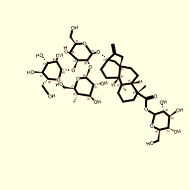 C=C1C[C@@]23CC[C@H]4[C@@](C)(CCC[C@@]4(C)C(=O)OC4O[C@H](CO)[C@@H](O)[C@H](O)[C@H]4O)[C@@H]2CC[C@]1(O[C@@H]1O[C@H](CO)[C@@H](O)[C@H](O[C@@H]2O[C@H](CO)[C@@H](O)[C@H](O)[C@H]2O)[C@H]1O[C@@H]1O[C@H](CO)[C@@H](C)[C@H](O)[C@H]1O)C3